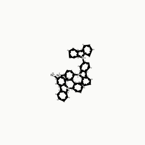 N#Cc1ccc(-n2c3ccccc3c3ccc(-n4c5ccccc5c5ccccc54)cc32)c(-c2ccccc2-n2c3ccccc3c3cc(C#N)ccc32)c1